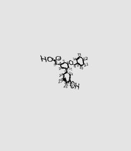 O=C(O)Cc1cc(OCc2ccccc2)cc(-c2cccc(O)c2)c1